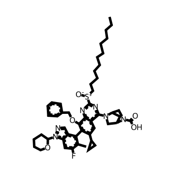 CCCCCCCCCCCC[S+]([O-])c1nc(N2CC3CC2CN3C(=O)O)c2cc(C3CC3)c(-c3c(C)c(F)cc4c3cnn4C3CCCCO3)c(OCc3ccccc3)c2n1